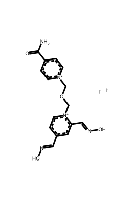 NC(=O)c1cc[n+](COC[n+]2ccc(C=NO)cc2C=NO)cc1.[I-].[I-]